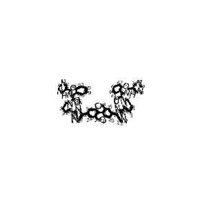 O=C(N[C@@H](C(=O)N1CCC[C@H]1c1ncc(-c2cc3c4c(c2)OCc2cc(-c5cnc([C@@H]6CCCN6C(=O)[C@H](NC(=O)c6cncnc6)c6ccccc6)[nH]5)cc(c2-4)OC3)[nH]1)c1ccccc1)c1cncnc1